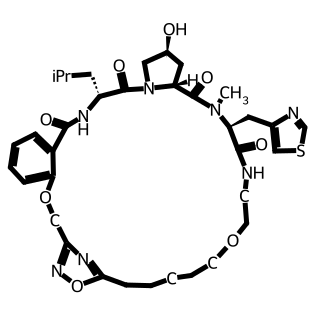 CC(C)C[C@H]1NC(=O)c2ccccc2OCc2noc(n2)CCCCCOCCNC(=O)[C@H](Cc2cscn2)N(C)C(=O)[C@H]2C[C@H](O)CN2C1=O